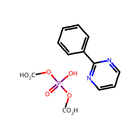 O=C(O)OP(=O)(O)OC(=O)O.c1ccc(-c2ncccn2)cc1